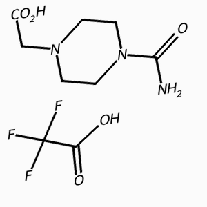 NC(=O)N1CCN(CC(=O)O)CC1.O=C(O)C(F)(F)F